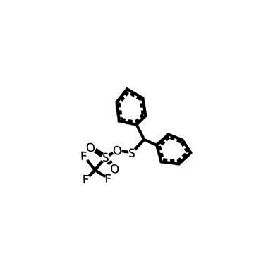 O=S(=O)(OSC(c1ccccc1)c1ccccc1)C(F)(F)F